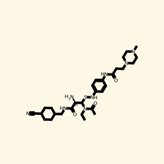 CCN(C(C)=O)C(SNc1ccc(NC(=O)CCN2CCN(C)CC2)cc1)[C@H](N)C(=O)NCC1CCC(C#N)CC1